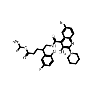 CCCC(F)OC(=O)CCC(CNC(=O)c1c(C)c(N2CCCCC2)nc2ccc(Br)cc12)c1cc(F)ccc1Cl